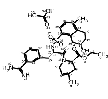 CCOC(=O)[C@H]1CC(C)=CCN1C(=O)[C@H](Cc1cccc(C(=N)N)c1)NS(=O)(=O)c1ccc(C)c2c1CN(C)CC2.O=C(O)O